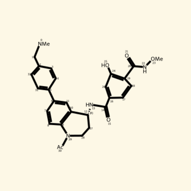 CNCc1ccc(-c2ccc3c(c2)[C@H](NC(=O)c2ccc(C(=O)NOC)c(O)c2)CCN3C(C)=O)cc1